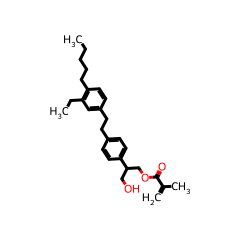 C=C(C)C(=O)OCC(CO)c1ccc(CCc2ccc(CCCCC)c(CC)c2)cc1